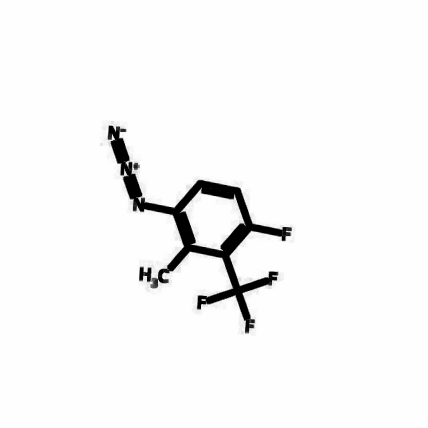 Cc1c(N=[N+]=[N-])ccc(F)c1C(F)(F)F